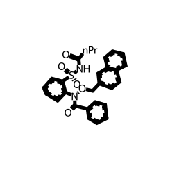 CCCC(=O)NS(=O)(=O)c1ccccc1N(OCc1ccc2ccccc2c1)C(=O)c1ccccc1